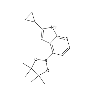 CC1(C)OB(c2ccnc3[nH]c(C4CC4)cc23)OC1(C)C